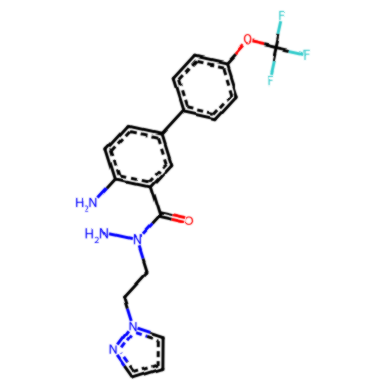 Nc1ccc(-c2ccc(OC(F)(F)F)cc2)cc1C(=O)N(N)CCn1cccn1